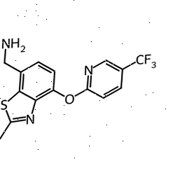 Cc1nc2c(Oc3ccc(C(F)(F)F)cn3)ccc(CN)c2s1